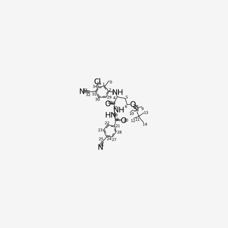 Cc1c(NC(CCO[Si](C)(C)C(C)(C)C)C(=O)NNC(=O)c2ccc(C#N)cc2)ccc(C#N)c1Cl